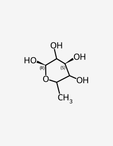 CC1O[C@@H](O)C(O)[C@@H](O)C1O